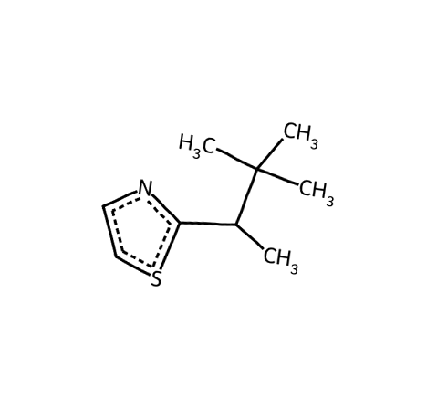 CC(c1nccs1)C(C)(C)C